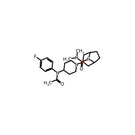 CC(=O)N(c1ccc(F)cc1)C1CCN(C2CC3CCC(C2)N3C(=O)N(C)C)CC1